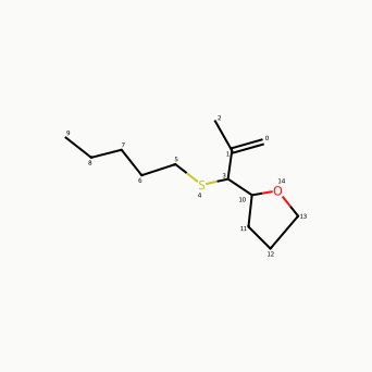 C=C(C)C(SCCCCC)C1CCCO1